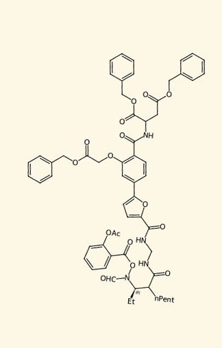 CCCCCC(C(=O)NCNC(=O)c1ccc(-c2ccc(C(=O)NC(CC(=O)OCc3ccccc3)C(=O)OCc3ccccc3)c(OCC(=O)OCc3ccccc3)c2)o1)[C@@H](CC)N(C=O)OC(=O)c1ccccc1OC(C)=O